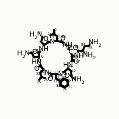 CC(C)CC1NC(=O)C(CCN)NC(=O)C(CCN)NC(=O)C(CC(C)C)NC(=O)C(Cc2ccccc2)NC(=O)C(CCN)NC(=O)C(NC(=O)C(N)CCN)CCNC1=O